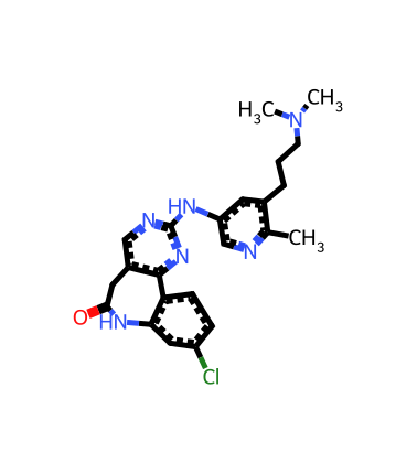 Cc1ncc(Nc2ncc3c(n2)-c2ccc(Cl)cc2NC(=O)C3)cc1CCCN(C)C